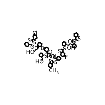 Cc1ccc2scc(Sc3ccccc3CO)c2c1.Cc1oc2ccccc2c1Sc1ccccc1CO.OC(c1ccccc1Sc1csc2ccccc12)C(O)c1ccccc1Sc1csc2ccc(F)cc12.OCCCc1ccccc1Br.OCc1ccccc1Sc1csc2ccc(Cl)cc12